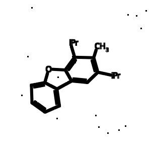 Cc1c(C(C)C)cc2c(oc3ccccc32)c1C(C)C